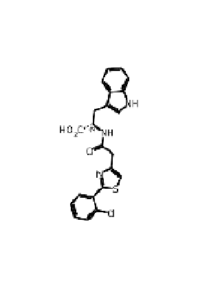 O=C(Cc1csc(-c2ccccc2Cl)n1)N[C@@H](Cc1c[nH]c2ccccc12)C(=O)O